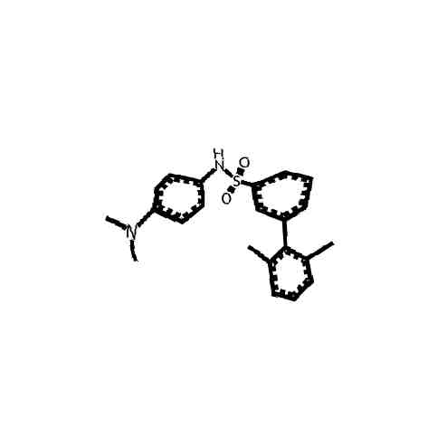 Cc1cccc(C)c1-c1cccc(S(=O)(=O)Nc2ccc(N(C)C)cc2)c1